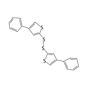 c1ccc(-c2csc(SSc3cc(-c4ccccc4)cs3)c2)cc1